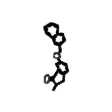 CC1Cc2ccc(OCc3ccc4ccccc4c3)cc2C1=O